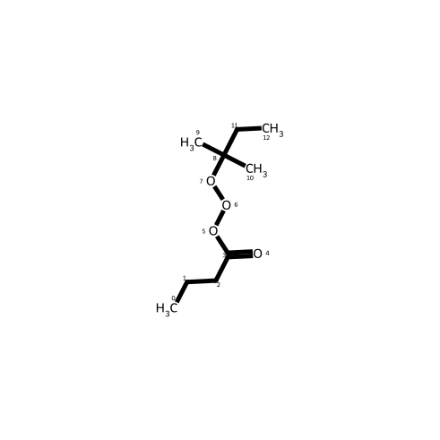 CCCC(=O)OOOC(C)(C)CC